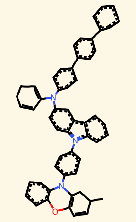 CC1C=CC2=C(C1)N(c1ccc(-n3c4ccccc4c4cc(N(C5=CCCC=C5)c5ccc(-c6ccc(-c7ccccc7)cc6)cc5)ccc43)cc1)c1ccccc1O2